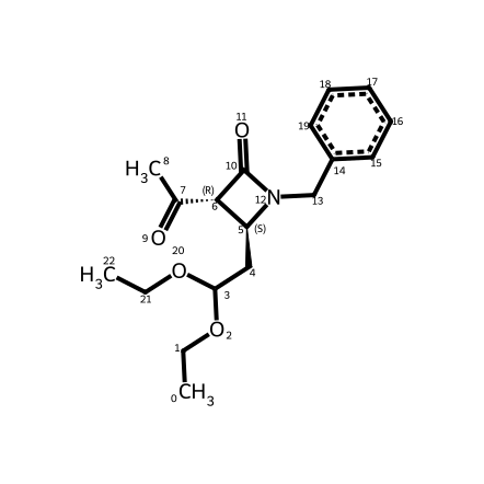 CCOC(C[C@H]1[C@H](C(C)=O)C(=O)N1Cc1ccccc1)OCC